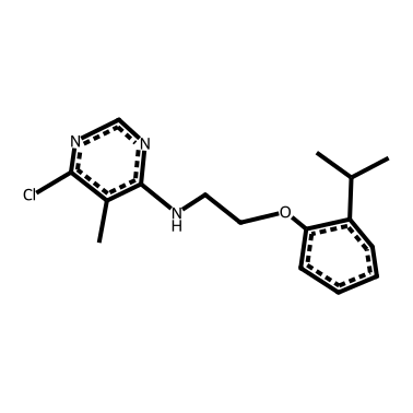 Cc1c(Cl)ncnc1NCCOc1ccccc1C(C)C